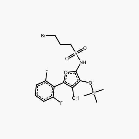 C[Si](C)(C)Oc1c(NS(=O)(=O)CCCBr)oc(-c2c(F)cccc2F)c1O